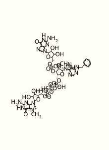 COC1[C@@H](OP(C)(=O)OC[C@H]2O[C@@H](n3cnc4c(=O)[nH]c(N)nc43)C(O)[C@H]2O)[C@@H](COP(=O)(O)OP(=O)(S)OP(=O)(O)OC[C@H]2O[C@@H](n3c[n+](C)c4c(=O)[nH]c(N)nc43)C(O)C2O)O[C@H]1n1cnc2c(NCc3ccccc3)ncnc21